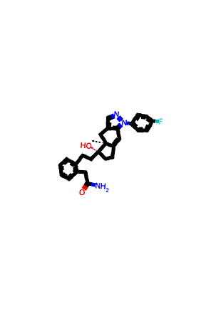 C[C@]12Cc3cnn(-c4ccc(F)cc4)c3C=C1CC[C@@]2(O)CCc1ccccc1CC(N)=O